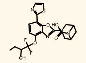 CCC(O)C(F)(F)Oc1ccc(-c2nccs2)c2oc(N3CC4CC(C3)N4C(=O)O)nc12